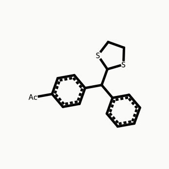 CC(=O)c1ccc(C(c2ccccc2)C2SCCS2)cc1